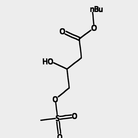 CCCCOC(=O)CC(O)COS(C)(=O)=O